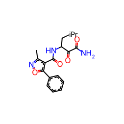 Cc1noc(-c2ccccc2)c1C(=O)NC(CC(C)C)C(=O)C(N)=O